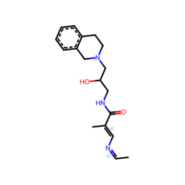 C/C=N\C=C(/C)C(=O)NCC(O)CN1CCc2ccccc2C1